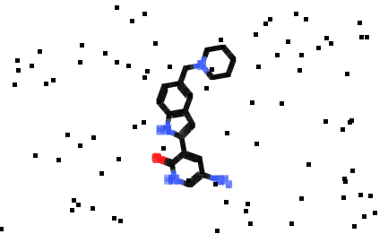 Nc1c[nH]c(=O)c(-c2cc3cc(CN4CCCCC4)ccc3[nH]2)c1